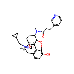 CN(C(=O)CCc1cccnc1)C1CC[C@@]2(O)[C@H]3Cc4ccc(O)c5c4[C@@]2(CCN3CC2CC2)C1O5